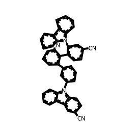 N#Cc1ccc(-c2c(C#N)cccc2-c2cccc(-n3c4ccccc4c4cc(C#N)ccc43)c2)c(-n2c3ccccc3c3ccccc32)c1